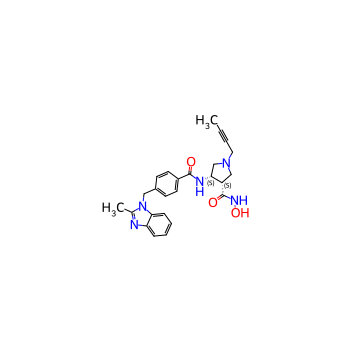 CC#CCN1C[C@H](C(=O)NO)[C@H](NC(=O)c2ccc(Cn3c(C)nc4ccccc43)cc2)C1